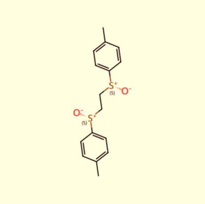 Cc1ccc([S@+]([O-])CC[S@@+]([O-])c2ccc(C)cc2)cc1